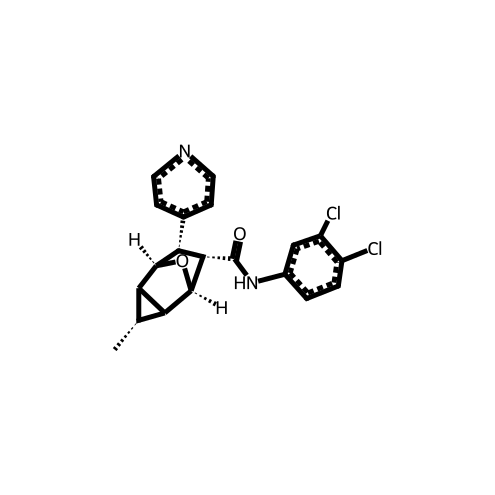 C[C@H]1C2C1[C@@H]1O[C@H]2[C@@H](C(=O)Nc2ccc(Cl)c(Cl)c2)[C@H]1c1ccncc1